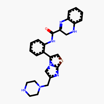 O=C(Nc1ccccc1-c1csc2nc(CN3CCNCC3)cn12)C1=Nc2ccccc2NC1